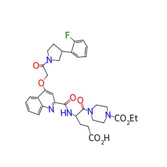 CCOC(=O)N1CCN(C(=O)C(CCC(=O)O)NC(=O)c2cc(OCC(=O)N3CCC(c4ccccc4F)C3)c3ccccc3n2)CC1